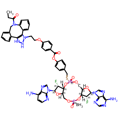 B[P@@]1(=O)OC[C@H]2O[C@@H](n3cnc4c(N)ccnc43)[C@H](F)[C@@H]2O[P@](=O)(SCc2ccc(OC(=O)c3ccc(OCCN4NNC5=C4c4ccccc4N(C(=O)CC)Cc4ccccc45)cc3)cc2)OC[C@H]2O[C@@H](n3cnc4c(N)ncnc43)[C@H](F)[C@@H]2O1